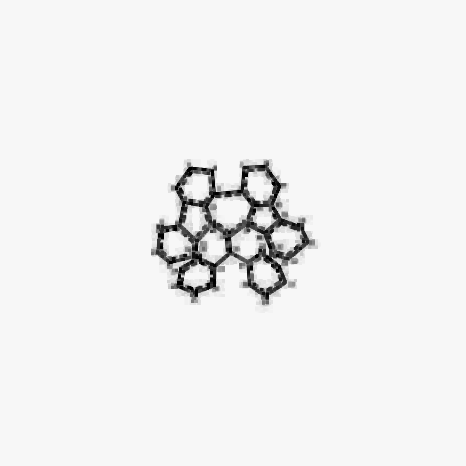 c1cc2c3cccc4c5nccnc5n(c(=C(c5cnccn5)c5cnccn5)n5c6nccnc6c(c1)c25)c34